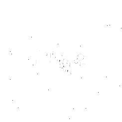 CC(C)C[C@H](NC(=O)[C@H](CC(=O)O)NC(=O)[C@H](Cc1c[nH]c2ccccc12)NC(=O)[C@@H]1CCCCN1)C(=O)O